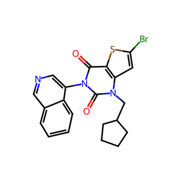 O=c1c2sc(Br)cc2n(CC2CCCC2)c(=O)n1-c1cncc2ccccc12